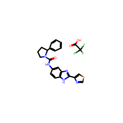 O=C(Nc1ccc2[nH]c(-c3cscn3)nc2c1)N1CCCC1c1ccccc1.O=C(O)C(F)(F)F